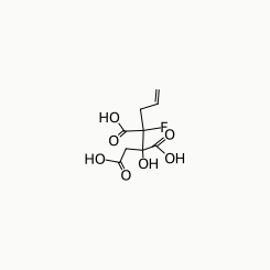 C=CCC(F)(C(=O)O)C(O)(CC(=O)O)C(=O)O